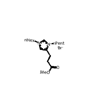 CCCCCCn1cc(CCC(=O)OC)[n+](CCCCC)c1.[Br-]